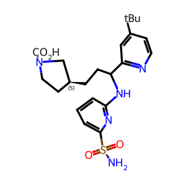 CC(C)(C)c1ccnc(C(CC[C@H]2CCN(C(=O)O)C2)Nc2cccc(S(N)(=O)=O)n2)c1